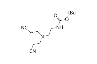 CC(C)(C)OC(=O)NCCN(CCC#N)CCC#N